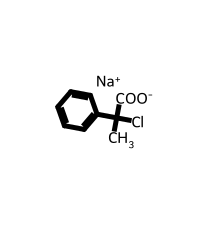 CC(Cl)(C(=O)[O-])c1ccccc1.[Na+]